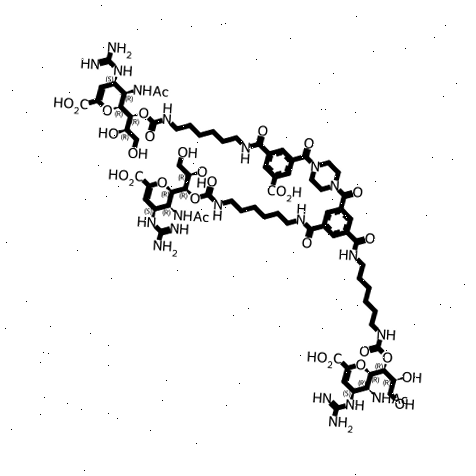 CC(=O)N[C@H]1[C@H]([C@H](OC(=O)NCCCCCCNC(=O)c2cc(C(=O)O)cc(C(=O)N3CCN(C(=O)c4cc(C(=O)NCCCCCCNC(=O)O[C@@H]([C@@H]5OC(C(=O)O)=C[C@H](NC(=N)N)[C@H]5NC(C)=O)[C@H](O)CO)cc(C(=O)NCCCCCCNC(=O)O[C@@H]([C@@H]5OC(C(=O)O)=C[C@H](NC(=N)N)[C@H]5NC(C)=O)[C@H](O)CO)c4)CC3)c2)[C@H](O)CO)OC(C(=O)O)=C[C@@H]1NC(=N)N